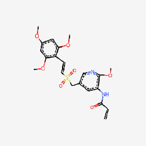 C=CC(=O)Nc1cc(CS(=O)(=O)C=Cc2c(OC)cc(OC)cc2OC)cnc1OC